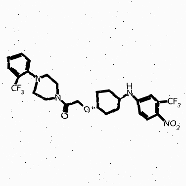 O=C(CO[C@H]1CC[C@H](Nc2ccc([N+](=O)[O-])c(C(F)(F)F)c2)CC1)N1CCN(c2ccccc2C(F)(F)F)CC1